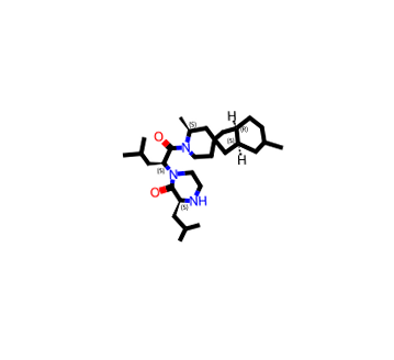 CC(C)C[C@@H]1NCCN([C@@H](CC(C)C)C(=O)N2CCC3(C[C@H]4CCC(C)C[C@H]4C3)C[C@@H]2C)C1=O